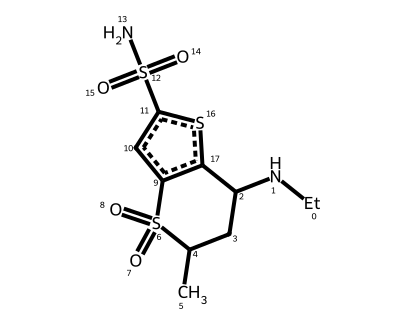 CCNC1CC(C)S(=O)(=O)c2cc(S(N)(=O)=O)sc21